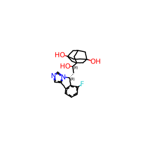 O[C@H](C[C@@H]1c2c(F)cccc2-c2cncn21)C12CC3CC(O)(CC(O)(C3)C1)C2